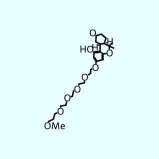 COCCCOCCOCCOCCOCCOc1cc(O)c2c(c1)OC(C)(C)[C@@H]1CCC(=O)C[C@@H]21